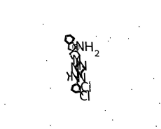 CC(C)n1c(-c2cccc(Cl)c2Cl)nc2cnc(N3CCC4(CC3)Cc3ccccc3[C@H]4N)nc21